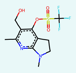 Cc1nc2c(c(OS(=O)(=O)C(F)(F)F)c1CO)CCN2C